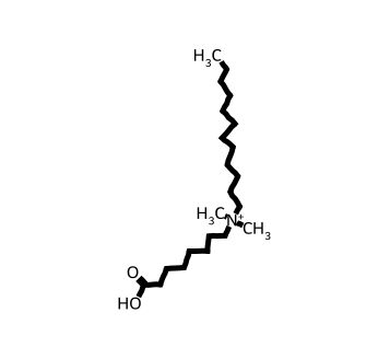 CCCCCCCCCCCC[N+](C)(C)CCCCCCCC(=O)O